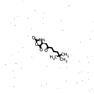 CC(C)(C)CCCC(=O)C[C@@H]1NC(=O)OC1=O